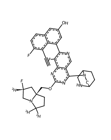 [2H]C1([2H])CC[C@@]2(COc3nc(N4CC5CCC4CN5)c4cnc(-c5cc(O)cc6ccc(F)c(C#C)c56)c(F)c4n3)C[C@@]([2H])(F)CN12